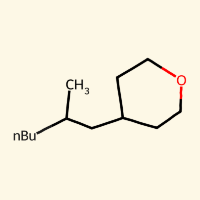 CCCCC(C)CC1CCOCC1